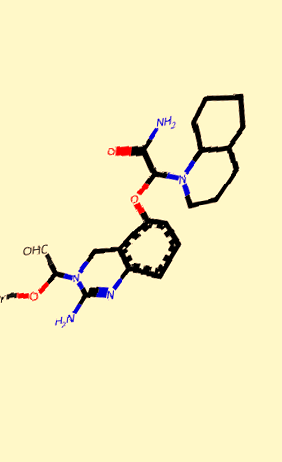 CC(C)OC(C=O)N1Cc2c(cccc2OC(C(N)=O)N2CCCC3CCCCC32)N=C1N